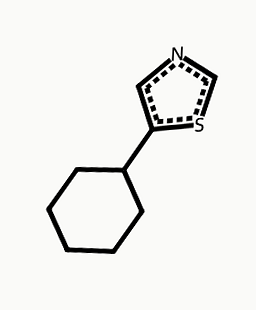 c1ncc(C2CCCCC2)s1